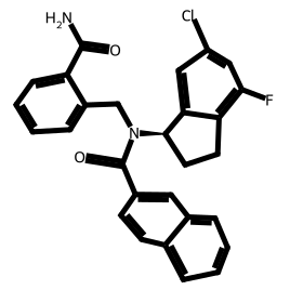 NC(=O)c1ccccc1CN(C(=O)c1ccc2ccccc2c1)[C@@H]1CCc2c(F)cc(Cl)cc21